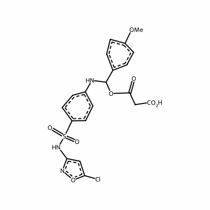 COc1ccc(C(Nc2ccc(S(=O)(=O)Nc3cc(Cl)on3)cc2)OC(=O)CC(=O)O)cc1